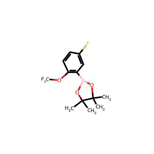 CC1(C)OB(c2cc(F)ccc2OC(F)(F)F)OC1(C)C